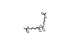 CC(=O)SCCCCC(=O)OC(=O)CCCCSC(C)=O